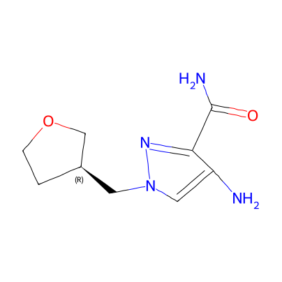 NC(=O)c1nn(C[C@H]2CCOC2)cc1N